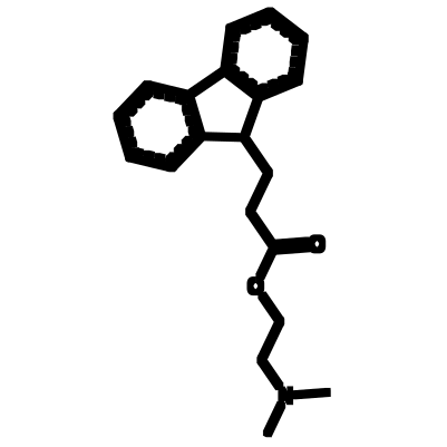 CN(C)CCOC(=O)CCC1c2ccccc2-c2ccccc21